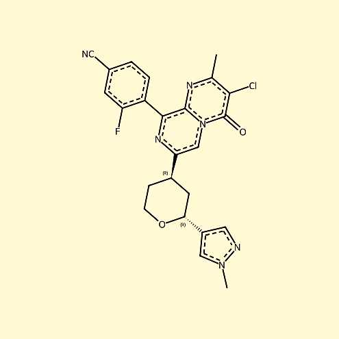 Cc1nc2c(-c3ccc(C#N)cc3F)nc([C@@H]3CCO[C@@H](c4cnn(C)c4)C3)cn2c(=O)c1Cl